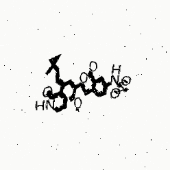 C=C(OC)/C(=C\C(=C/CC1(C)CC1)c1ccc[nH]c1=O)c1cc2ccc(NS(C)(=O)=O)cc2c(=O)o1